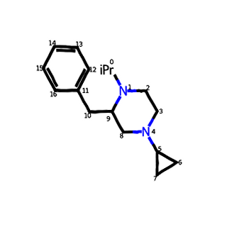 CC(C)N1CCN(C2CC2)CC1Cc1ccccc1